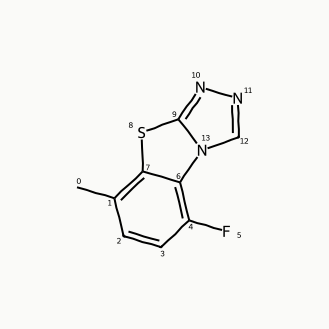 Cc1ccc(F)c2c1sc1nncn12